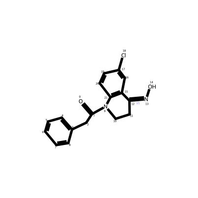 O=C(Cc1ccccc1)N1CC/C(=N/O)c2cc(Cl)ccc21